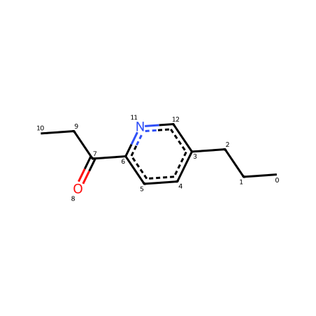 CCCc1ccc(C(=O)CC)nc1